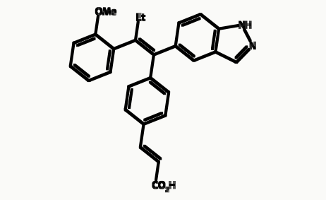 CC/C(=C(/c1ccc(/C=C/C(=O)O)cc1)c1ccc2[nH]ncc2c1)c1ccccc1OC